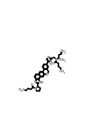 C=CC[C@H](C)N(Cc1ncc(-c2ccc3c(c2)COc2cc4c(ccc5nc(C6CCCN6C(=O)CCCC)[nH]c54)cc2-3)[nH]1)C(=O)CCCC